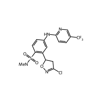 CNS(=O)(=O)c1ccc(Nc2ccc(C(F)(F)F)cn2)cc1C1CC(Cl)=NO1